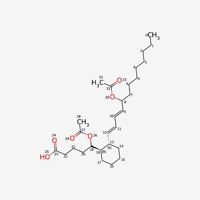 CCCCCCCCC(C=CC=C[C@@H]1CCCC[C@H]1C(CCCC(=O)O)OC(C)=O)OC(C)=O